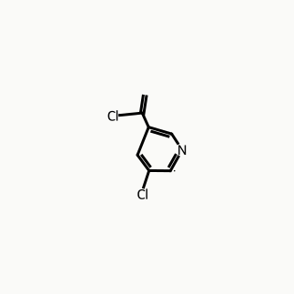 C=C(Cl)c1cn[c]c(Cl)c1